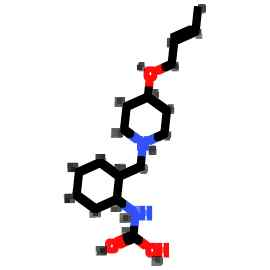 CC=CCOC1CCN(CC2CCCCC2NC(=O)O)CC1